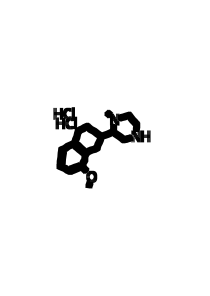 COc1cccc2c1CC(C1CNCCN1C)CC2.Cl.Cl